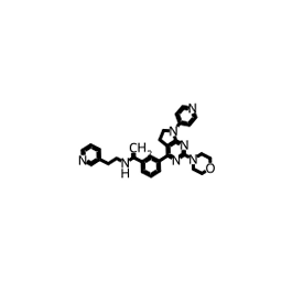 C=C(NCCc1cccnc1)c1cccc(-c2nc(N3CCOCC3)nc3c2CCN3c2ccncc2)c1